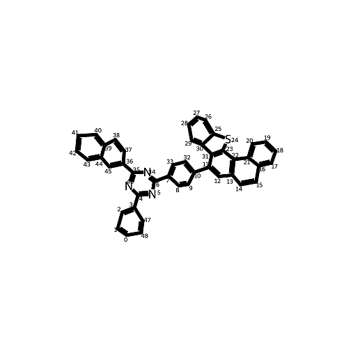 c1ccc(-c2nc(-c3ccc(-c4cc5ccc6ccccc6c5c5sc6ccccc6c45)cc3)nc(-c3ccc4ccccc4c3)n2)cc1